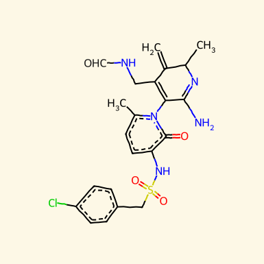 C=C1C(CNC=O)=C(n2c(C)ccc(NS(=O)(=O)Cc3ccc(Cl)cc3)c2=O)C(N)=NC1C